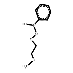 COCCOOB(O)c1ccccc1